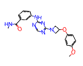 CNC(=O)c1cccc(Nc2ncnc(N3CC(Oc4ccc(OC)cc4)C3)n2)c1